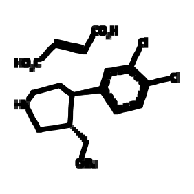 CC(C)COC[C@@H]1CNCC[C@H]1c1ccc(Cl)c(Cl)c1.O=C(O)C=CC(=O)O